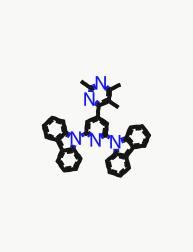 Cc1nc(C)c(C)c(-c2cc(-n3c4ccccc4c4ccccc43)nc(-n3c4ccccc4c4ccccc43)c2)n1